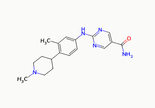 Cc1cc(Nc2ncc(C(N)=O)cn2)ccc1C1CCN(C)CC1